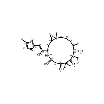 CC[C@H]1C(=O)C(C)(C)[C@@H](O)CC(=O)N[C@H](C(Cl)=Cc2coc(C)n2)CC2OC2(C)CCCC(C)[C@@H]1O